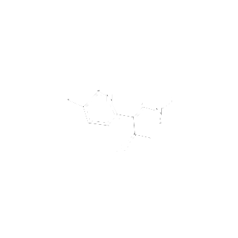 CC(=O)/C(=C\N(C)C)c1ccc(C)cn1